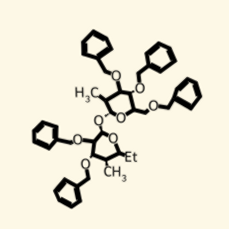 CCC1O[C@H](O[C@H]2OC(COCc3ccccc3)[C@@H](OCc3ccccc3)C(OCc3ccccc3)C2C)C(OCc2ccccc2)[C@@H](OCc2ccccc2)[C@@H]1C